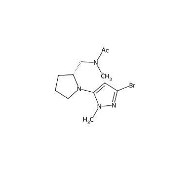 CC(=O)N(C)C[C@H]1CCCN1c1cc(Br)nn1C